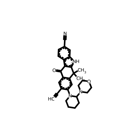 C#Cc1cc2c(cc1N1CCCCC1N1CCOCC1)C(C)(C)c1[nH]c3cc(C#N)ccc3c1C2=O